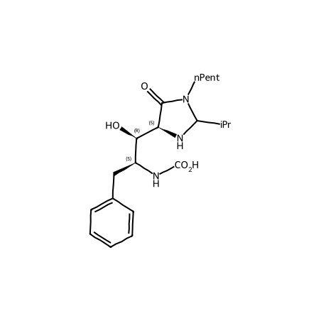 CCCCCN1C(=O)[C@H]([C@H](O)[C@H](Cc2ccccc2)NC(=O)O)NC1C(C)C